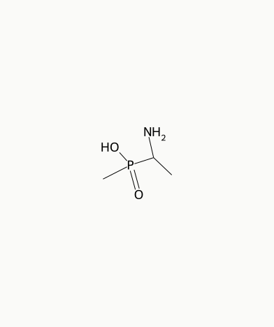 CC(N)P(C)(=O)O